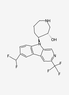 O[C@H]1CNCCC[C@@H]1n1c2ccc(C(F)F)cc2c2cc(C(F)(F)F)ncc21